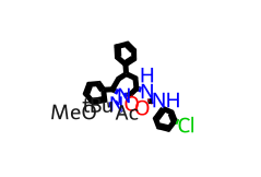 COc1cccc(C2CC(c3ccccc3)CC(NC(=O)Nc3cccc(Cl)c3)C(=O)N2N(C(C)=O)C(C)(C)C)c1